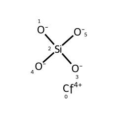 [Cf+4].[O-][Si]([O-])([O-])[O-]